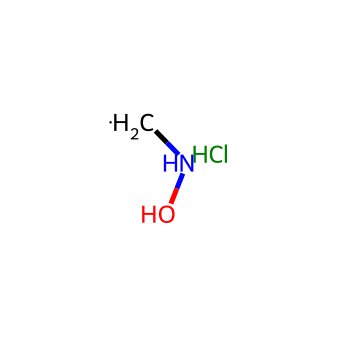 Cl.[CH2]NO